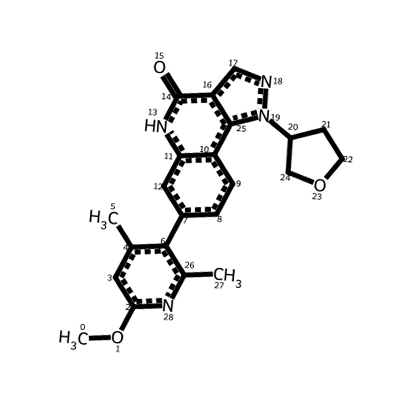 COc1cc(C)c(-c2ccc3c(c2)[nH]c(=O)c2cnn(C4CCOC4)c23)c(C)n1